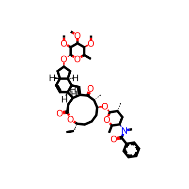 CC[C@H]1CCC[C@H](O[C@@H]2OC(C)[C@@H](N(C)C(=O)c3ccccc3)C[C@H]2C)[C@@H](C)C(=O)C2=C[C@@H]3[C@@H](C=C[C@@H]4C[C@@H](O[C@H]5OC(C)[C@H](OC)C(OC)C5OC)C[C@@H]34)[C@@H]2CC(=O)O1